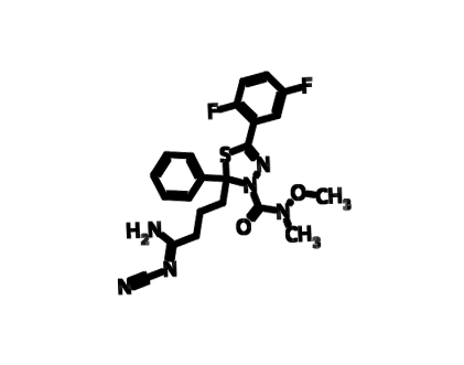 CON(C)C(=O)N1N=C(c2cc(F)ccc2F)SC1(CCC/C(N)=N/C#N)c1ccccc1